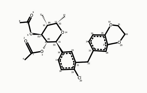 CC(=O)O[C@@H]1[C@@H](OC(C)=O)[C@H](C)[C@H](C)O[C@H]1c1ccc(Cl)c(Cc2ccc3c(c2)OCCO3)c1